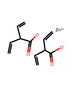 C=CC(C=C)C(=O)[O-].C=CC(C=C)C(=O)[O-].[Zn+2]